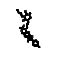 COCCN(C=O)C(=O)C(CCCN(c1nc2oc(-c3ccc(C)cc3)c(C)c2cc1C)S(C)(=O)=O)COC